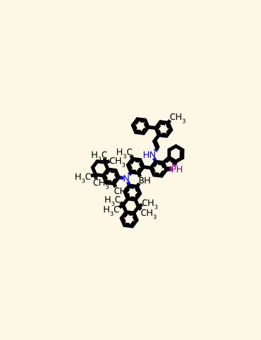 Cc1ccc(C=CNc2c(-c3cc(C)cc4c3Bc3cc5c(cc3N4c3cc4c(cc3C)C(C)(C)CCC4(C)C)C(C)(C)c3ccccc3C5(C)C)ccc3[pH]c4c(c23)CCC=C4)c(-c2ccccc2)c1